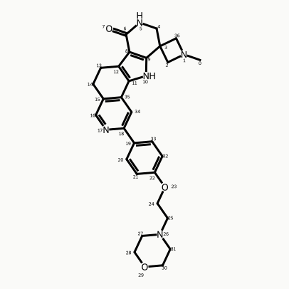 CN1CC2(CNC(=O)c3c2[nH]c2c3CCc3cnc(-c4ccc(OCCN5CCOCC5)cc4)cc3-2)C1